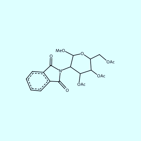 COC1OC(COC(C)=O)C(OC(C)=O)C(OC(C)=O)C1N1C(=O)c2ccccc2C1=O